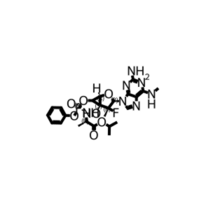 CNc1nc(N)nc2c1ncn2[C@@H]1O[C@@H]2C(O[P@@](=O)(N[C@H](C)C(=O)OC(C)C)Oc3ccccc3)[C@]2(O)[C@@]1(C)F